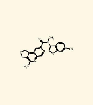 CN(C(=O)c1cc2c3c(c(N)nc2cn1)COC3)[C@@H]1COc2cc(C#N)ccc21